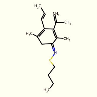 C=C(C)C1=C(C)/C(=N/SCCCC)CC(C)=C1/C=C/C